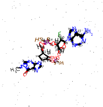 Cn1cnc2c(ncn2[C@@H]2C[C@@H]3OP(=S)(S)O[C@@H]4[C@@H](OOP(=S)(S)O[C@@H]2[C@@H]3O)O[C@@H](n2cnc3c(N)ncnc32)[C@@H]4F)c1=O